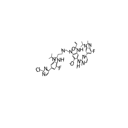 C=CC(=O)Nc1cc(Nc2nccc(-c3cc(F)c4nc(C)n(C(C)C)c4c3)n2)c(OC)cc1N(C)CCN(C)CCC1Nc2c(F)cc(-c3ccnc(Cl)n3)cc2N1C(C)C